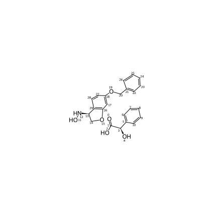 O=C(O)[C@H](O)c1ccccc1.ON[C@@H]1COc2cc(OCc3ccccc3)ccc21